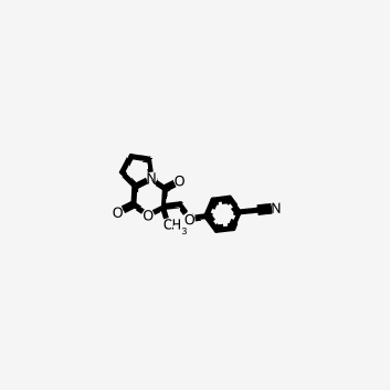 CC1(COc2ccc(C#N)cc2)OC(=O)C2CCCN2C1=O